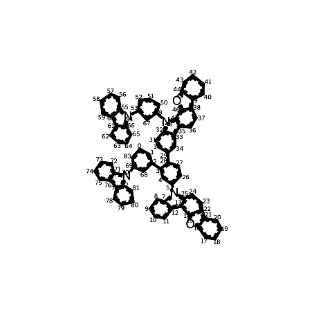 c1cc(-c2cc(-n3c4ccccc4c4c5oc6ccccc6c5ccc43)ccc2-c2ccc3c(c2)c2ccc4c5ccccc5oc4c2n3-c2cccc(-n3c4ccccc4c4ccccc43)c2)cc(-n2c3ccccc3c3ccccc32)c1